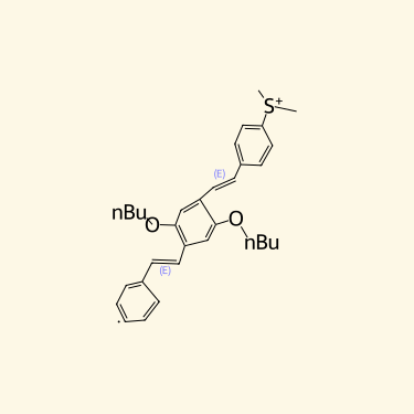 CCCCOc1cc(/C=C/c2ccc([S+](C)C)cc2)c(OCCCC)cc1/C=C/c1cc[c]cc1